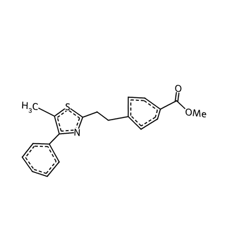 COC(=O)c1ccc(CCc2nc(-c3ccccc3)c(C)s2)cc1